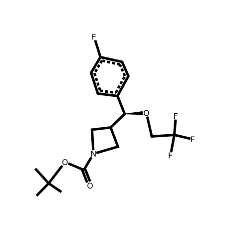 CC(C)(C)OC(=O)N1CC([C@H](OCC(F)(F)F)c2ccc(F)cc2)C1